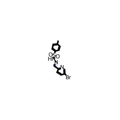 Cc1ccc(S(=O)(=O)N/N=C/c2ccc(Br)cn2)cc1